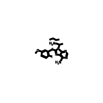 CCCC.COc1ccc(I)c(Sc2nc3c(N)ncnc3n2C(C)[AsH2])c1